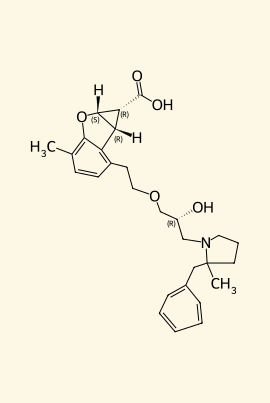 Cc1ccc(CCOC[C@H](O)CN2CCCC2(C)Cc2ccccc2)c2c1O[C@@H]1[C@H](C(=O)O)[C@H]21